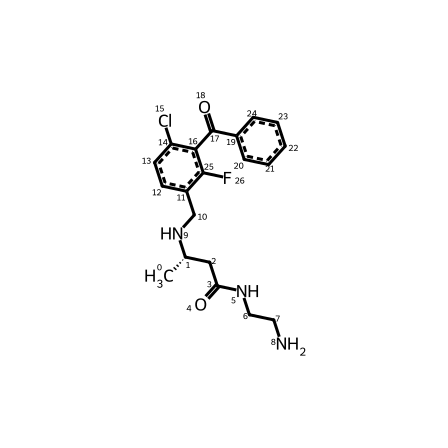 C[C@@H](CC(=O)NCCN)NCc1ccc(Cl)c(C(=O)c2ccccc2)c1F